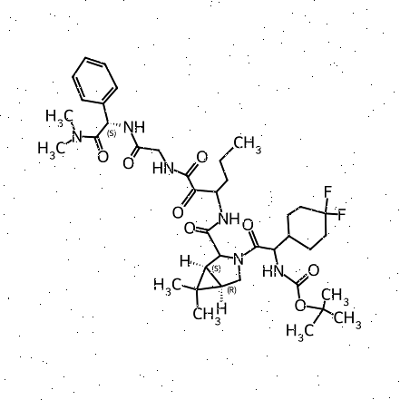 CCCC(NC(=O)C1[C@H]2[C@@H](CN1C(=O)C(NC(=O)OC(C)(C)C)C1CCC(F)(F)CC1)C2(C)C)C(=O)C(=O)NCC(=O)N[C@H](C(=O)N(C)C)c1ccccc1